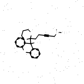 CN(C)CC#CCCC1(C2(O)c3ccccc3Sc3ccccc32)SCCCS1